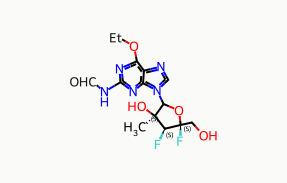 CCOc1nc(NC=O)nc2c1ncn2C1O[C@](F)(CO)[C@@H](F)[C@@]1(C)O